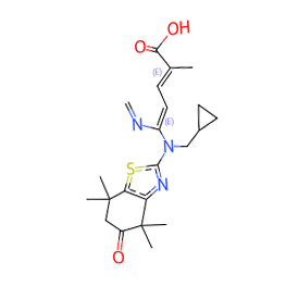 C=N/C(=C\C=C(/C)C(=O)O)N(CC1CC1)c1nc2c(s1)C(C)(C)CC(=O)C2(C)C